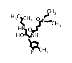 CCCN(CCC)C(=O)CCCC(=O)N[C@@H](Cc1ccc(C)c(F)c1)[C@H](O)CNCCC(C)C